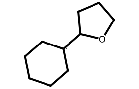 C1CC[C](C2CCCO2)CC1